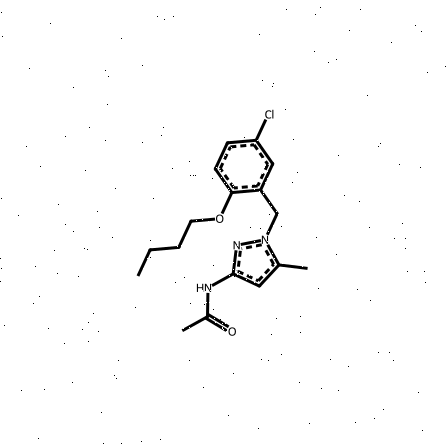 CCCCOc1ccc(Cl)cc1Cn1nc(NC(C)=O)cc1C